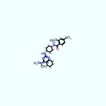 COc1cc([N+](=O)[O-])ccc1C(=O)N[C@H]1CC[C@@H](Nc2nc3c(c(N(C)C)n2)CCCC3)CC1